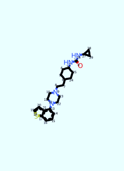 O=C(NC1CCC(CCN2CCN(c3cccc4sccc34)CC2)CC1)NC1CC1